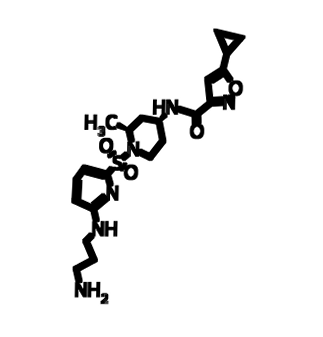 C[C@H]1C[C@@H](NC(=O)c2cc(C3CC3)on2)CCN1S(=O)(=O)c1cccc(NCCCN)n1